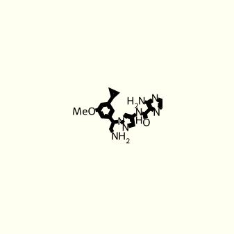 COc1cc(C2CC2)cc(C(CN)n2cc(NC(=O)c3nccnc3N)cn2)c1